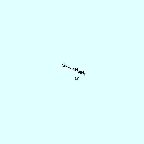 [AlH3].[Cr].[SiH3][Ni]